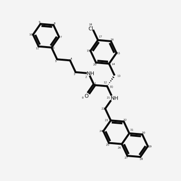 O=C(NCCCc1ccccc1)[C@H](Cc1ccc(Cl)cc1)NCc1ccc2ccccc2c1